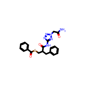 NC(=O)Cn1nnc(NC(=O)C(CSC(=O)c2ccccc2)Cc2ccccc2)n1